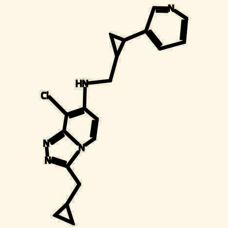 Clc1c(NCC2CC2c2cccnc2)ccn2c(CC3CC3)nnc12